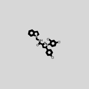 O=C(NCN1CCc2ccccc21)C1=NN(c2ccc(Cl)cc2Cl)C(c2ccc(Cl)cc2)C1